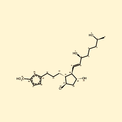 C[C@H](O)CCC[C@H](O)/C=C/[C@@H]1[C@@H](CCCc2ccc(C(=O)O)s2)[C@H](Cl)C[C@H]1O